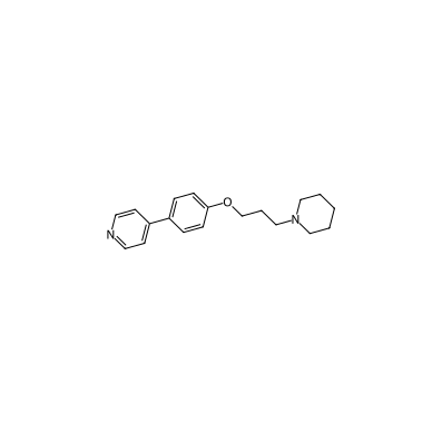 c1cc(-c2ccc(OCCCN3CCCCC3)cc2)ccn1